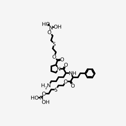 NCCCCC(NC(CCc1ccccc1)C(=O)OCCSCCON(O)O)C(=O)N1CCCC1C(=O)OCCSCCON(O)O